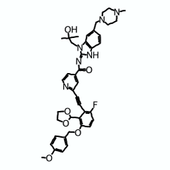 COc1ccc(COc2ccc(F)c(C#Cc3cc(C(=O)/N=c4\[nH]c5ccc(CN6CCN(C)CC6)cc5n4CC(C)(C)O)ccn3)c2C2OCCO2)cc1